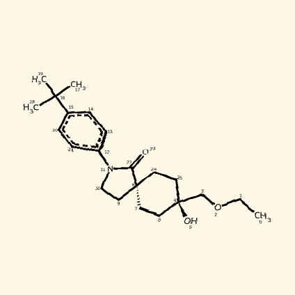 CCOC[C@]1(O)CC[C@@]2(CCN(c3ccc(C(C)(C)C)cc3)C2=O)CC1